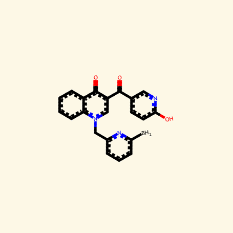 Bc1cccc(Cn2cc(C(=O)c3ccc(O)nc3)c(=O)c3ccccc32)n1